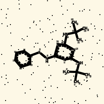 CC(C)(C)Nc1nc(NSc2ccccc2)nc(NC(C)(C)C)n1